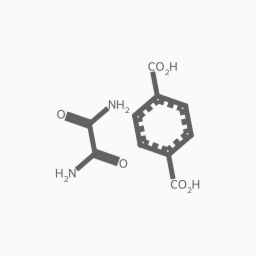 NC(=O)C(N)=O.O=C(O)c1ccc(C(=O)O)cc1